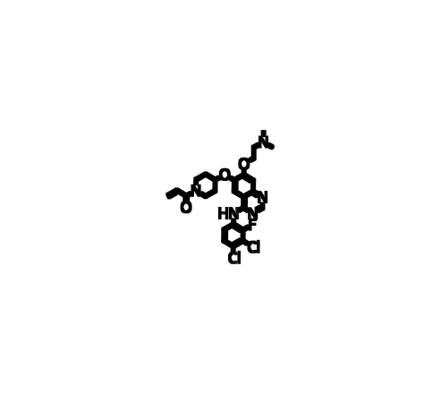 C=CC(=O)N1CCC(Oc2cc3c(Nc4ccc(Cl)c(Cl)c4F)ncnc3cc2OCCN(C)C)CC1